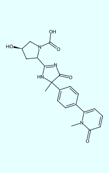 Cn1c(-c2ccc(C3(C)NC(C4C[C@@H](O)CN4C(=O)O)=NC3=O)cc2)cccc1=O